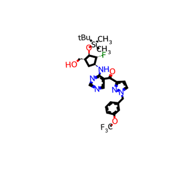 CC(C)(C)[Si](C)(C)O[C@@H]1[C@@H](CO)C[C@@H](Nc2ncncc2C(=O)c2ccn(Cc3cccc(OC(F)(F)F)c3)n2)[C@H]1F